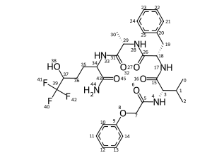 CC(C)[C@H](NC(=O)COc1ccccc1)C(=O)N[C@@H](Cc1ccccc1)C(=O)N[C@@H](C)C(=O)NC(CCC(O)C(F)(F)F)C(N)=O